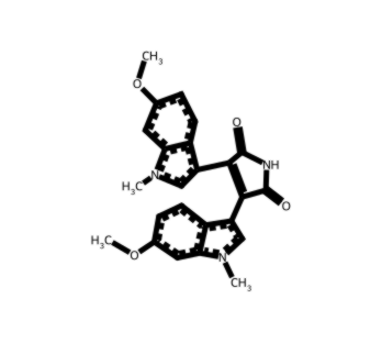 COc1ccc2c(C3=C(c4cn(C)c5cc(OC)ccc45)C(=O)NC3=O)cn(C)c2c1